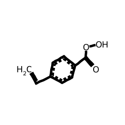 C=Cc1ccc(C(=O)OO)cc1